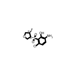 Nc1ccc(Cl)c(S(=O)(=O)[C@@H]2COC[C@H]2F)c1O